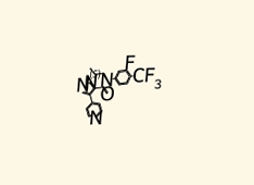 C[C@H]1CN(c2ccc(C(F)(F)F)c(F)c2)C(=O)c2c(-c3ccncc3)cnn21